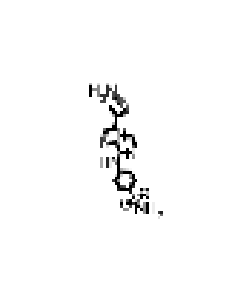 Nn1cc(-c2cnc3c(Nc4ccc(S(N)(=O)=O)cc4)nccn23)cn1